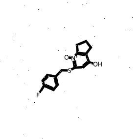 [O-][n+]1c(SCc2ccc(F)cc2)cc(O)c2c1CCC2